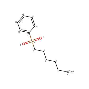 CCCCCCCCCCCCCS(=O)(=O)c1ccccc1